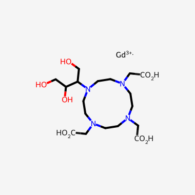 O=C(O)CN1CCN(CC(=O)O)CCN(C(CO)C(O)CO)CCN(CC(=O)O)CC1.[Gd+3]